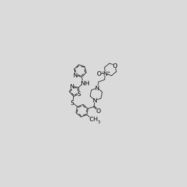 Cc1ccc(Sc2cnc(Nc3ccccn3)s2)cc1C(=O)N1CCN(CC[N+]2([O-])CCOCC2)CC1